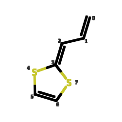 C=CC=C1SC=CS1